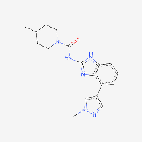 CC1CCN(C(=O)Nc2nc3c(-c4cnn(C)c4)cccc3[nH]2)CC1